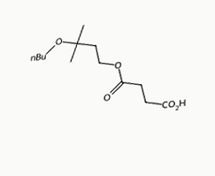 CCCCOC(C)(C)CCOC(=O)CCC(=O)O